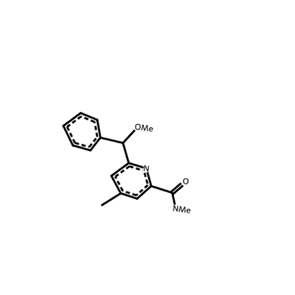 CNC(=O)c1cc(C)cc(C(OC)c2ccccc2)n1